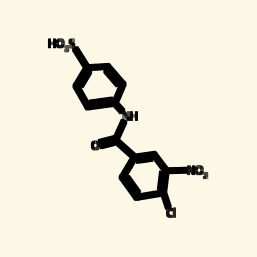 O=C(Nc1ccc(S(=O)(=O)O)cc1)c1ccc(Cl)c([N+](=O)[O-])c1